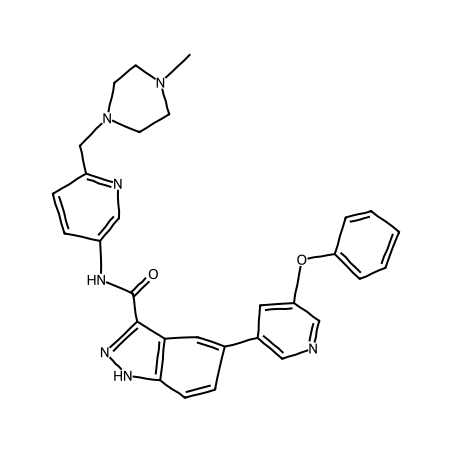 CN1CCN(Cc2ccc(NC(=O)c3n[nH]c4ccc(-c5cncc(Oc6ccccc6)c5)cc34)cn2)CC1